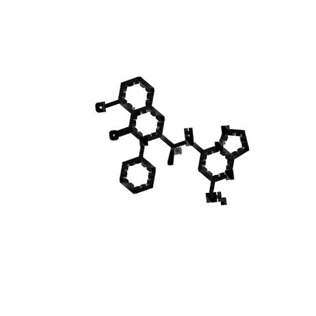 C[C@H](Nc1cc(N)nc2ccnn12)c1cc2cccc(Cl)c2c(=O)n1-c1ccccc1